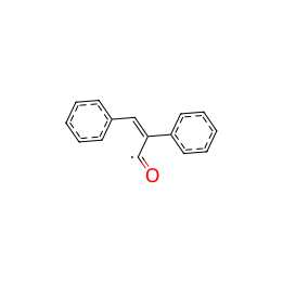 O=[C]C(=Cc1ccccc1)c1ccccc1